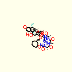 C=CC1CCCCCC(OCC(=O)N[C@@H](C)C(=O)N[C@H](C)C(=O)N[C@@H](C)C(=O)NCOCC(=O)[C@@]23OC(CCC)O[C@@H]2C[C@H]2[C@@H]4C[C@H](F)C5=CC(=O)C=C[C@]5(C)[C@@]4(F)[C@@H](O)C[C@@]23C)C1